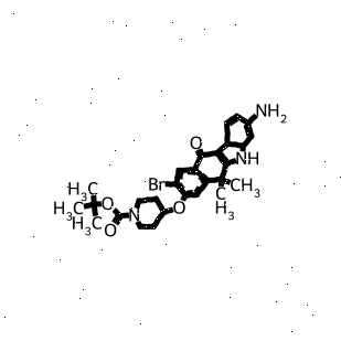 CC(C)(C)OC(=O)N1CCC(Oc2cc3c(cc2Br)C(=O)C2=C(NC4C=C(N)C=CC24)C3(C)C)CC1